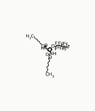 CCCCCCCCOC(=O)Nc1cc(NC(=O)OCCCCCCCC)cc(OC(F)=C(F)C(F)(F)C(F)(F)C(F)(F)C(F)(F)F)c1